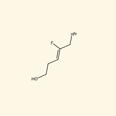 CCCCC(F)=CCCO